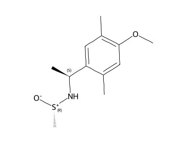 COc1cc(C)c([C@H](C)N[S@+](C)[O-])cc1C